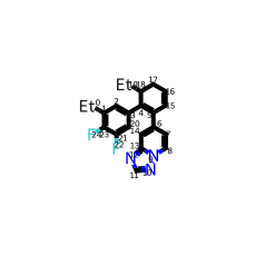 CCc1cc(C2=C(c3ccn4ncnc4c3)C=CCC2CC)cc(F)c1F